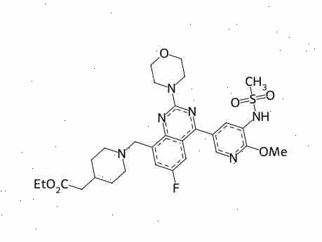 CCOC(=O)CC1CCN(Cc2cc(F)cc3c(-c4cnc(OC)c(NS(C)(=O)=O)c4)nc(N4CCOCC4)nc23)CC1